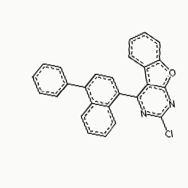 Clc1nc(-c2ccc(-c3ccccc3)c3ccccc23)c2c(n1)oc1ccccc12